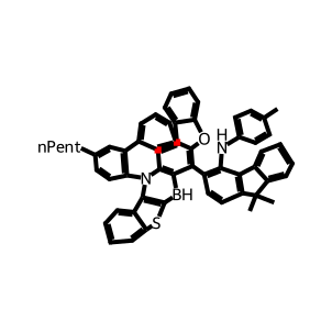 CCCCCc1ccc(N2c3cc4c(oc5ccccc54)c(-c4ccc5c(c4Nc4ccc(C)cc4)-c4ccccc4C5(C)C)c3Bc3sc4ccccc4c32)c(-c2ccccc2)c1